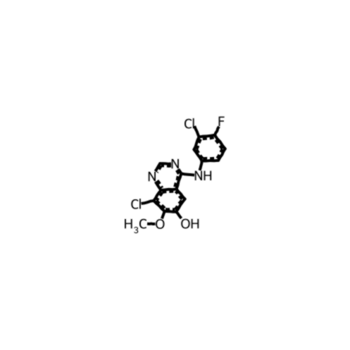 COc1c(O)cc2c(Nc3ccc(F)c(Cl)c3)ncnc2c1Cl